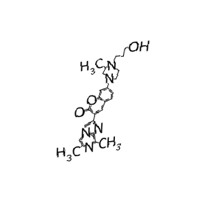 Cc1cn2cc(-c3cc4ccc(N5CCN(CCCO)C(C)C5)cc4oc3=O)nc2c(C)n1